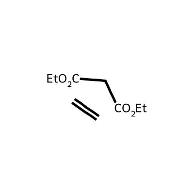 C=C.CCOC(=O)CC(=O)OCC